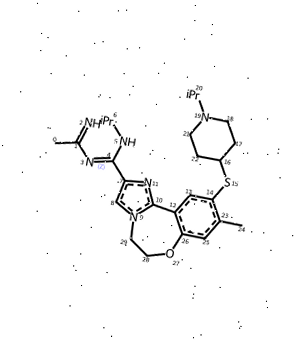 CC(=N)/N=C(\NC(C)C)c1cn2c(n1)-c1cc(SC3CCN(C(C)C)CC3)c(C)cc1OCC2